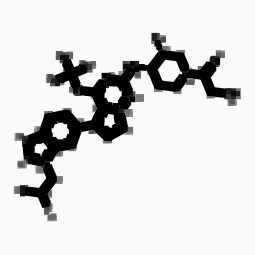 [2H]C([2H])([2H])Oc1nc(N[C@H]2CCN(C(=O)CO)C[C@H]2F)nn2ccc(-c3ccc4nnn(CC(F)F)c4c3)c12